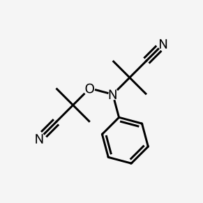 CC(C)(C#N)ON(c1ccccc1)C(C)(C)C#N